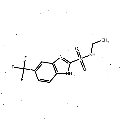 CCNS(=O)(=O)c1nc2cc(C(F)(F)F)ccc2[nH]1